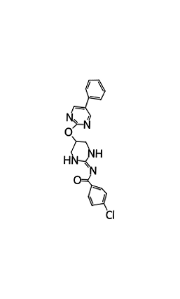 O=C(N=C1NCC(Oc2ncc(-c3ccccc3)cn2)CN1)c1ccc(Cl)cc1